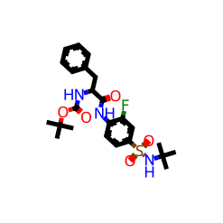 CC(C)(C)NS(=O)(=O)c1ccc(NC(=O)C(Cc2ccccc2)NC(=O)OC(C)(C)C)c(F)c1